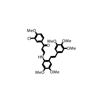 COc1ccc(C(=O)C=CNc2cc(OC)c(OC)cc2C=Cc2cc(OC)c(OC)c(OC)c2)cc1Cl